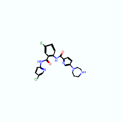 O=C(Nc1ccc(F)cc1C(=O)Nc1ccc(Cl)cn1)c1ccc(N2CCCNCC2)cn1